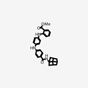 COC(=O)c1ccccc1Nc1ccc(Nc2ccc(C(=O)NC34CC5CC6CC(C3)C654)cc2)cc1